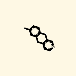 Cc1ccc2c(c1)Cc1ccncc1C2